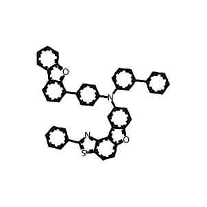 c1ccc(-c2cccc(N(c3ccc(-c4cccc5c4oc4ccccc45)cc3)c3ccc4oc5ccc6sc(-c7ccccc7)nc6c5c4c3)c2)cc1